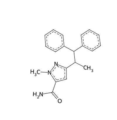 CC(c1cc(C(N)=O)n(C)n1)C(c1ccccc1)c1ccccc1